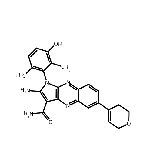 Cc1ccc(O)c(C)c1-n1c(N)c(C(N)=O)c2nc3cc(C4=CCOCC4)ccc3nc21